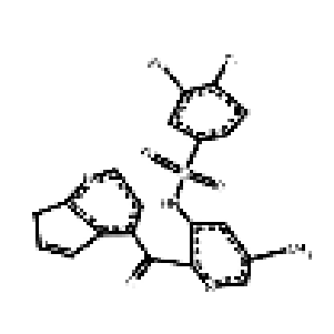 Cc1cnc(C(=O)c2ccnc3c2C=CC3)c(NS(=O)(=O)c2ccc(Cl)c(C(C)C)c2)c1